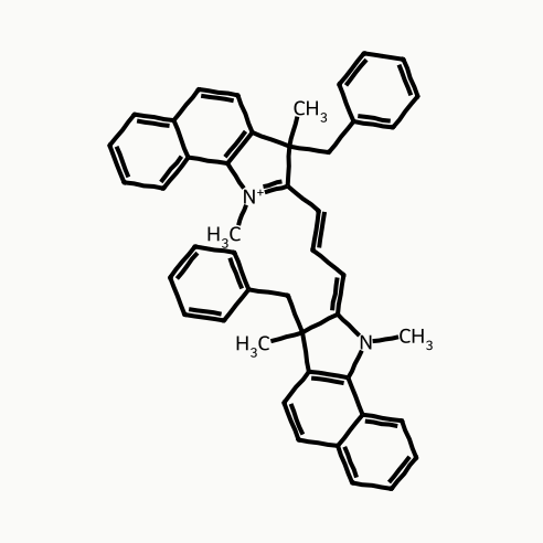 CN1/C(=C/C=C/C2=[N+](C)c3c(ccc4ccccc34)C2(C)Cc2ccccc2)C(C)(Cc2ccccc2)c2ccc3ccccc3c21